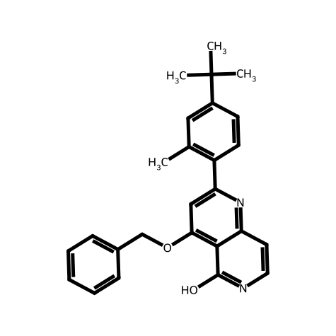 Cc1cc(C(C)(C)C)ccc1-c1cc(OCc2ccccc2)c2c(O)nccc2n1